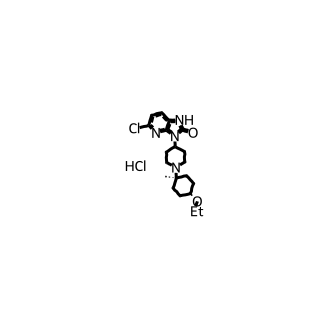 CCO[C@H]1CC[C@](C)(N2CCC(n3c(=O)[nH]c4ccc(Cl)nc43)CC2)CC1.Cl